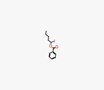 CCCCC(I)OC(=O)c1ccccc1